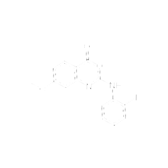 COc1ccc2c(=O)oc(Nc3ccccc3I)nc2c1